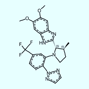 COc1cc2nc([C@@H]3[C@@H](C)CCN3c3cc(C(F)(F)F)c[c]c3-n3nccn3)[nH]c2cc1OC